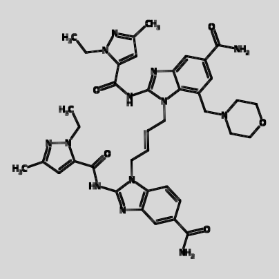 CCn1nc(C)cc1C(=O)Nc1nc2cc(C(N)=O)ccc2n1C/C=C/Cn1c(NC(=O)c2cc(C)nn2CC)nc2cc(C(N)=O)cc(CN3CCOCC3)c21